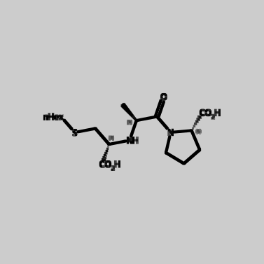 CCCCCCSC[C@H](N[C@@H](C)C(=O)N1CCC[C@H]1C(=O)O)C(=O)O